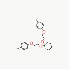 Cc1ccc(OCCOC2(OCCOc3ccc(C)cc3)CCCCC2)cc1